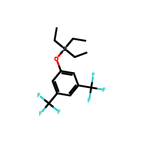 CC[Si](CC)(CC)Oc1cc(C(F)(F)F)cc(C(F)(F)F)c1